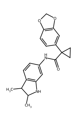 CC1Nc2cc(NC(=O)C3(c4ccc5c(c4)OCO5)CC3)ccc2C1C